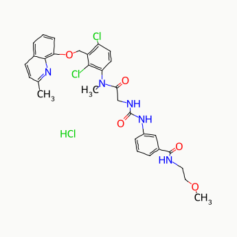 COCCNC(=O)c1cccc(NC(=O)NCC(=O)N(C)c2ccc(Cl)c(COc3cccc4ccc(C)nc34)c2Cl)c1.Cl